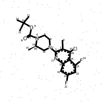 Cc1c(N2CCN(C(=O)OC(C)(C)C)[C@H](C)C2)nc2cc(F)cc(F)c2c1Cl